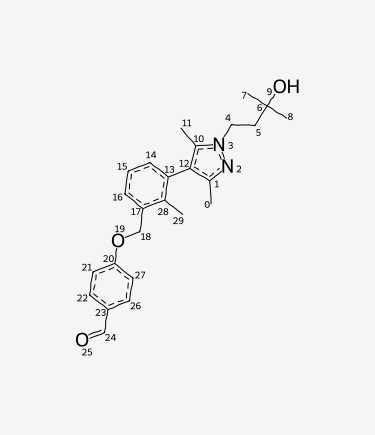 Cc1nn(CCC(C)(C)O)c(C)c1-c1cccc(COc2ccc(C=O)cc2)c1C